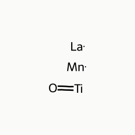 [La].[Mn].[O]=[Ti]